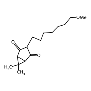 COCCCCCCC[C]1C(=O)C2C(C1=O)C2(C)C